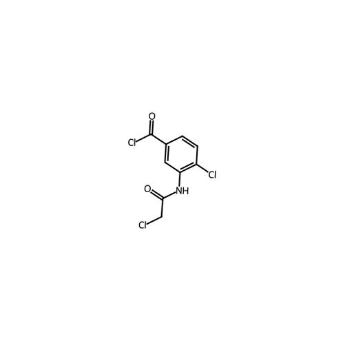 O=C(CCl)Nc1cc(C(=O)Cl)ccc1Cl